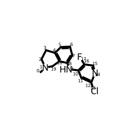 CN1CCc2cccc(Nc3cc(Cl)ncc3F)c2C1